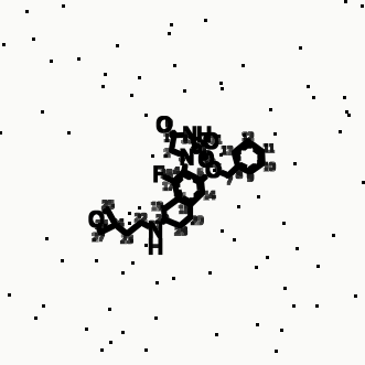 O=C1CN(c2c(OCc3ccccc3)cc3c(c2F)CC(NCCC2COC2)CC3)S(=O)(=O)N1